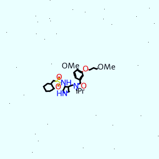 COCCCOc1cc(C(=O)N(CC2CNCC2NS(=O)(=O)CC2CCCCC2)C(C)C)ccc1OC